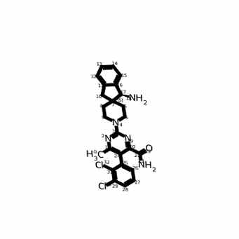 Cc1nc(N2CCC3(CC2)Cc2ccccc2[C@H]3N)nc(C(N)=O)c1-c1cccc(Cl)c1Cl